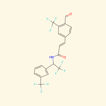 O=Cc1ccc(C=CC(=O)NC(c2cccc(C(F)(F)F)c2)C(F)(F)F)cc1C(F)(F)F